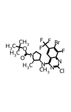 C[C@@H]1[C@H](N(C)c2nc(Cl)nc3c(F)c(Br)c(C(F)(F)F)cc23)CCN1C(=O)OC(C)(C)C